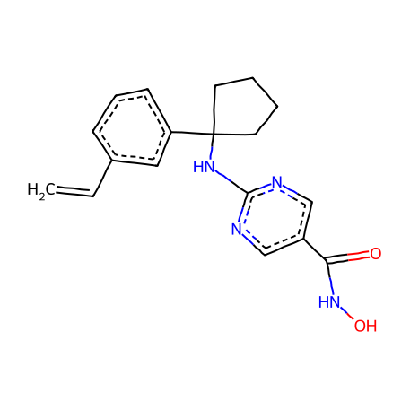 C=Cc1cccc(C2(Nc3ncc(C(=O)NO)cn3)CCCC2)c1